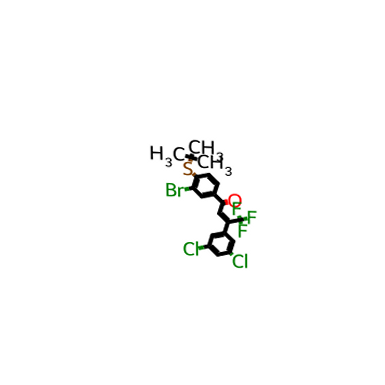 CC(C)(C)Sc1ccc(C(=O)C=C(c2cc(Cl)cc(Cl)c2)C(F)(F)F)cc1Br